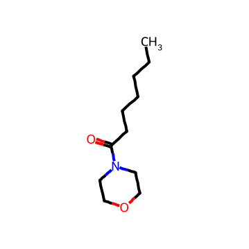 CCCCCCC(=O)N1CCOCC1